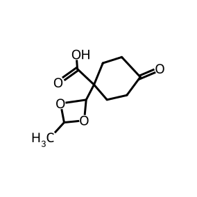 CC1OC(C2(C(=O)O)CCC(=O)CC2)O1